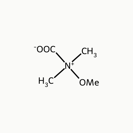 CO[N+](C)(C)C(=O)[O-]